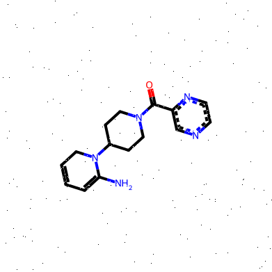 NC1=CC=CCN1C1CCN(C(=O)c2cnccn2)CC1